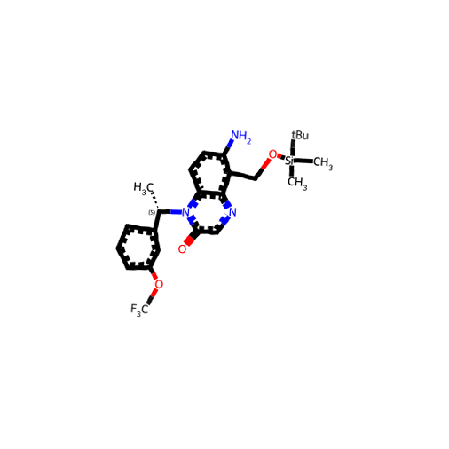 C[C@@H](c1cccc(OC(F)(F)F)c1)n1c(=O)cnc2c(CO[Si](C)(C)C(C)(C)C)c(N)ccc21